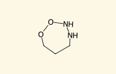 C1CNNOOC1